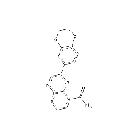 NC(=O)c1cccc2ncc(-c3ccc4c(c3)OCCO4)nc12